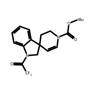 CC(C)(C)OC(=O)N1C=CC2(CC1)CN(C(=O)C(F)(F)F)c1ccccc12